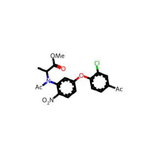 COC(=O)C(C)N(C(C)=O)c1cc(Oc2ccc(C(C)=O)cc2Cl)ccc1[N+](=O)[O-]